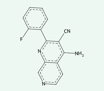 N#Cc1c(-c2ccccc2F)nc2cnccc2c1N